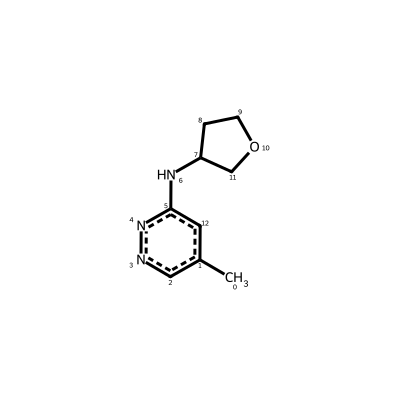 Cc1cnnc(NC2CCOC2)c1